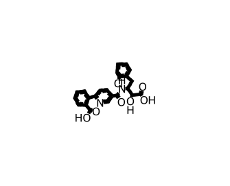 O=C(NC(Cc1ccccc1Cl)C(O)C(=O)O)c1ccc(-c2ccccc2C(=O)O)nc1